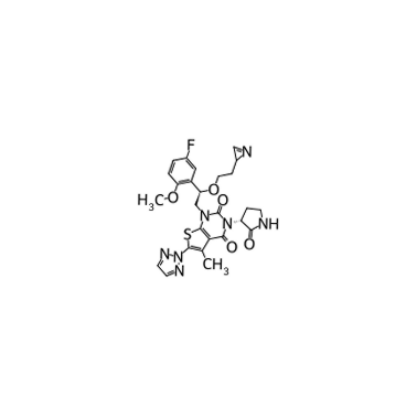 COc1ccc(F)cc1[C@H](Cn1c(=O)n([C@@H]2CCNC2=O)c(=O)c2c(C)c(-n3nccn3)sc21)OCCC1C=N1